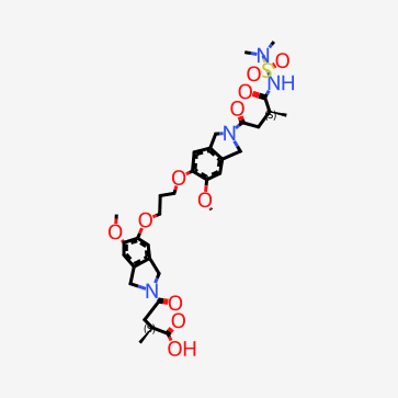 COc1cc2c(cc1OCCCOc1cc3c(cc1OC)CN(C(=O)C[C@H](C)C(=O)NS(=O)(=O)N(C)C)C3)CN(C(=O)C[C@H](C)C(=O)O)C2